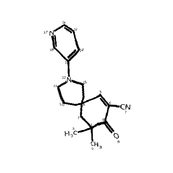 CC1(C)CC2(C=C(C#N)C1=O)CCN(c1cccnc1)C2